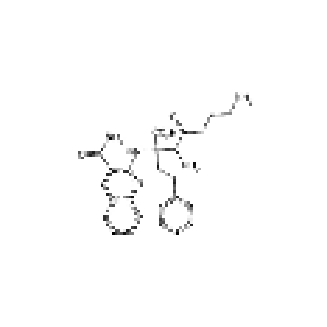 NCCCC(=O)C(N)C(CCc1ccccc1)(Nc1nc2ccccc2cc1C(N)=O)C(=O)O